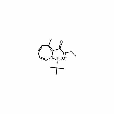 CCOC(=O)C1=C(C)C=CC=CN1[S@+]([O-])C(C)(C)C